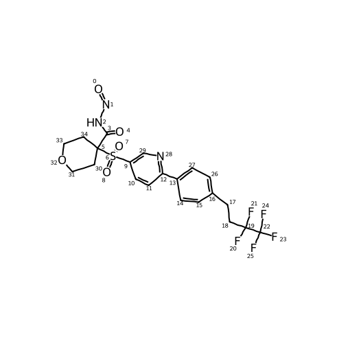 O=NNC(=O)C1(S(=O)(=O)c2ccc(-c3ccc(CCC(F)(F)C(F)(F)F)cc3)nc2)CCOCC1